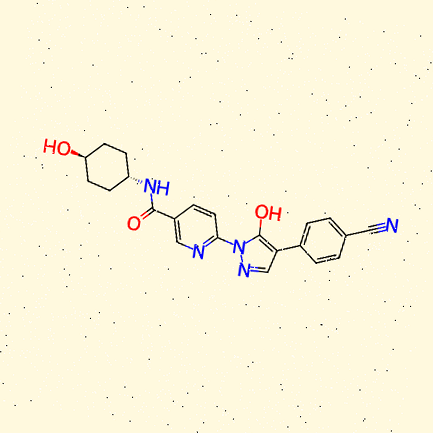 N#Cc1ccc(-c2cnn(-c3ccc(C(=O)N[C@H]4CC[C@H](O)CC4)cn3)c2O)cc1